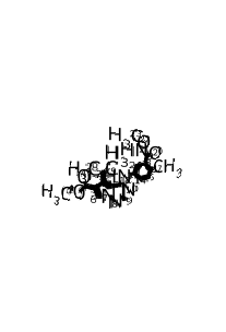 CCOC(=O)c1cn2ncnc(Nc3ccc(C)c(C(=O)NOC)c3)c2c1C(C)C